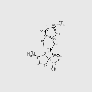 CC(C#N)[C@]1(C(=O)N2CCc3ncc(C(F)(F)F)cc3C2)CC[C@@H](N)C1